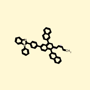 C=C/C=C\C=C1/CC(c2ccc3ccccc3c2)=c2cc(-c3ccc(-c4nc5ccccc5n4-c4ccccc4)cc3)ccc2=C1c1ccc2ccccc2c1